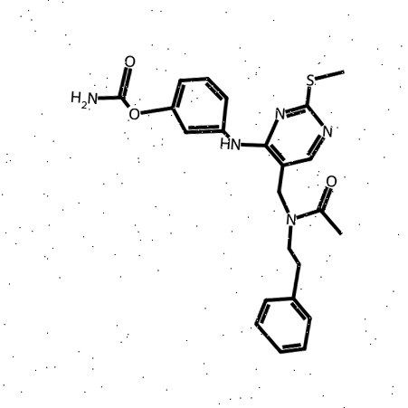 CSc1ncc(CN(CCc2ccccc2)C(C)=O)c(Nc2cccc(OC(N)=O)c2)n1